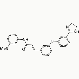 CSc1cccc(NC(=O)C=Cc2cccc(Oc3ccnc(C4=NCCN4)c3)c2)c1